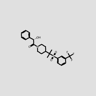 CC(C)(C1CCN(C(=O)[C@@H](O)c2ccccc2)CC1)S(=O)(=O)c1cccc(C(F)(F)F)c1